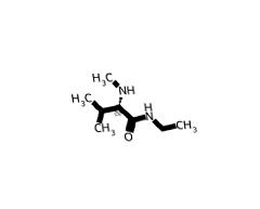 CCNC(=O)[C@@H](NC)C(C)C